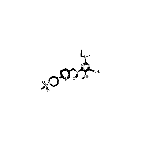 CC[P@@](C)c1nc(N)c(NC)c(N(C=O)Cc2ccc(N3CCN(S(C)(=O)=O)CC3)nc2)n1